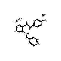 O=C(Nc1ccc(C(F)(F)F)cc1)c1ccccc1NCc1ccncc1.[BH3-]C#N.[Na+]